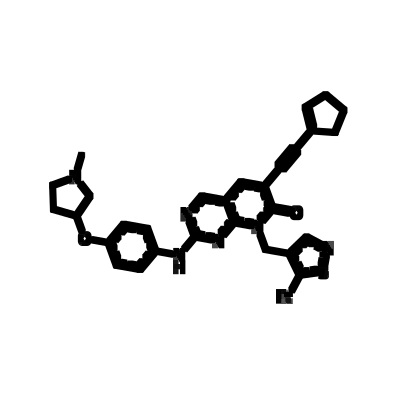 CCc1sncc1Cn1c(=O)c(C#CC2=CCCC2)cc2cnc(Nc3ccc(OC4CCN(C)C4)cc3)nc21